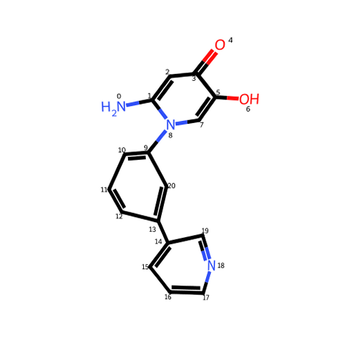 Nc1cc(=O)c(O)cn1-c1cccc(-c2cccnc2)c1